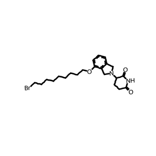 O=C1CCC(N2Cc3cccc(OCCCCCCCCCBr)c3C2)C(=O)N1